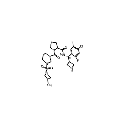 N#CC1CN(S(=O)(=O)N2CCCC(C(=O)N3CCCC3C(=O)N[C@H](c3cc(F)c(Cl)cc3F)C3CNC3)C2)C1